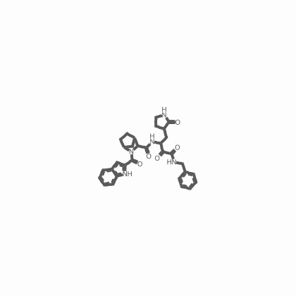 O=C(NCc1ccccc1)C(=O)C(CC1CCNC1=O)NC(=O)C1C2CCC(C2)N1C(=O)c1cc2ccccc2[nH]1